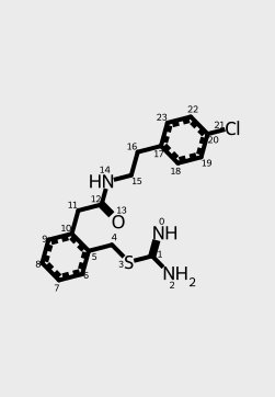 N=C(N)SCc1ccccc1CC(=O)NCCc1ccc(Cl)cc1